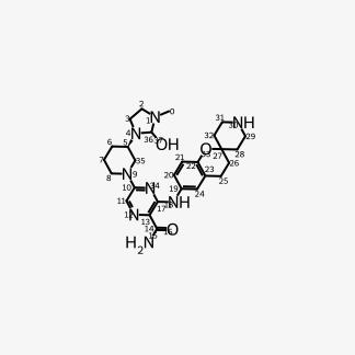 CN1CCN([C@@H]2CCCN(c3cnc(C(N)=O)c(Nc4ccc5c(c4)CCC4(CCNCC4)O5)n3)C2)C1O